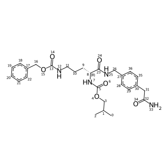 CC(C)COC(=O)N[C@H](CCCNC(=O)OCc1ccccc1)C(=O)NCc1ccc(CC(N)=O)cc1